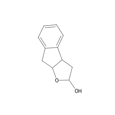 OC1CC2c3ccccc3CC2O1